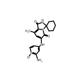 Cc1cc(Nc2cc[n+]([O-])c(N)c2)c(=O)n2c1C(=O)NC21CCCCC1